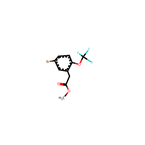 COC(=O)Cc1cc(Br)ccc1OC(F)(F)F